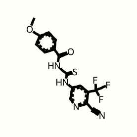 COc1ccc(C(=O)NC(=S)Nc2cnc(C#N)c(C(F)(F)F)c2)cc1